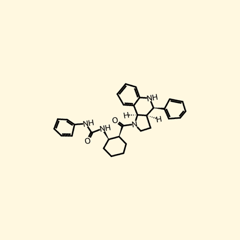 O=C(Nc1ccccc1)N[C@@H]1CCCC[C@@H]1C(=O)N1CC[C@@H]2[C@H](c3ccccc3)Nc3ccccc3[C@@H]21